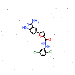 Nc1n[nH]c2ccc(-c3ccc(C(=O)NNc4cc(Cl)ccc4Cl)o3)cc12